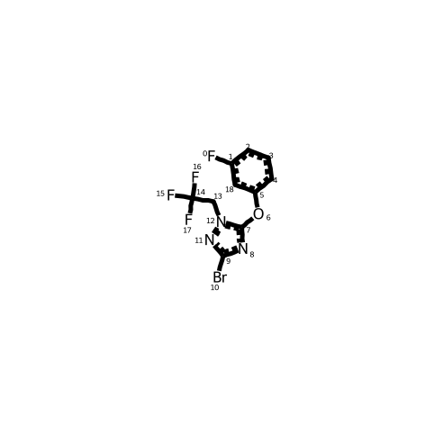 Fc1cccc(Oc2nc(Br)nn2CC(F)(F)F)c1